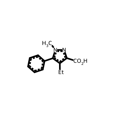 CCc1c(C(=O)O)nn(C)c1-c1ccccc1